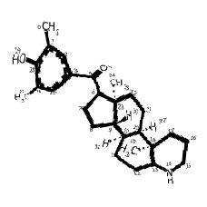 Cc1cc(C(=O)C2CC[C@H]3[C@@H]4CCC5NCCC[C@]5(C)[C@@H]4CC[C@]23C)cc(C)c1O